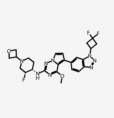 COc1nc(N[C@H]2CCN(C3COC3)C[C@@H]2F)nn2ccc(-c3ccc4nnn(C5CC(F)(F)C5)c4c3)c12